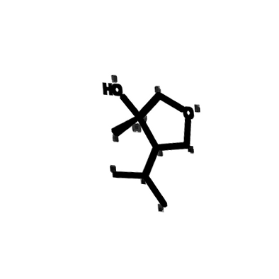 CC(C)C1COC[C@@]1(C)O